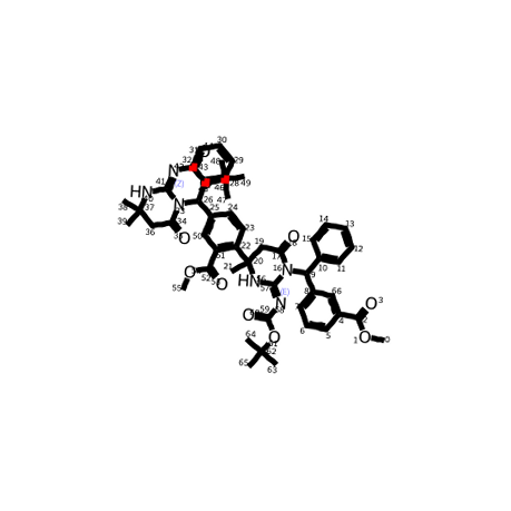 COC(=O)c1cccc(C(c2ccccc2)N2C(=O)CC(C)(c3ccc(C(c4ccccc4)N4C(=O)CC(C)(C)N/C4=N/C(=O)OC(C)(C)C)cc3C(=O)OC)N/C2=N\C(=O)OC(C)(C)C)c1